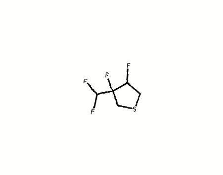 FC(F)C1(F)CSCC1F